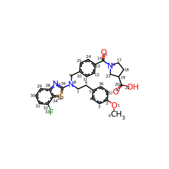 COc1ccc(CCN(Cc2ccc(C(=O)N3CCC(C(=O)O)C3)cc2)c2nc3cccc(F)c3s2)cc1